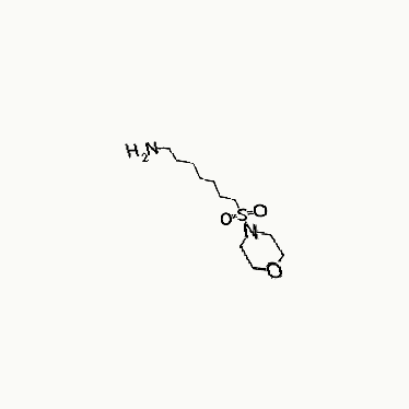 NCCCCCCCS(=O)(=O)N1CCOCC1